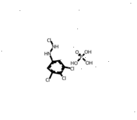 ClNNc1cc(Cl)c(Cl)c(Cl)c1.O=P(O)(O)O